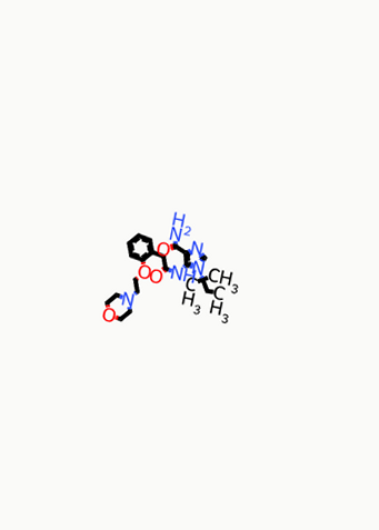 CCC(C)(C)n1cnc(C(N)=O)c1NC(=O)Cc1ccccc1OCCN1CCOCC1